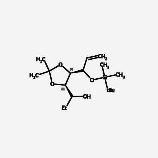 C=CC(O[Si](C)(C)C(C)(C)C)[C@@H]1OC(C)(C)O[C@@H]1C(O)CC